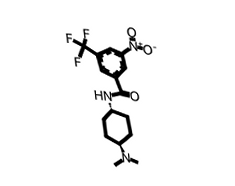 CN(C)[C@H]1CC[C@H](NC(=O)c2cc([N+](=O)[O-])cc(C(F)(F)F)c2)CC1